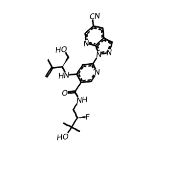 C=C(C)[C@@H](CO)Nc1cc(-n2ncc3cc(C#N)cnc32)ncc1C(=O)NC[C@@H](F)C(C)(C)O